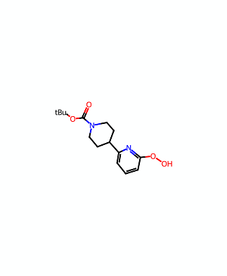 CC(C)(C)OC(=O)N1CCC(c2cccc(OO)n2)CC1